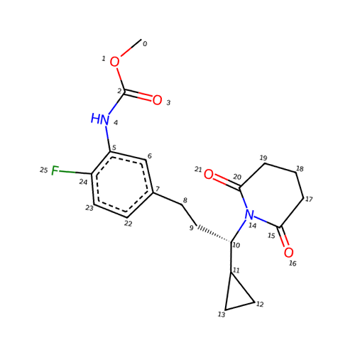 COC(=O)Nc1cc(CC[C@@H](C2CC2)N2C(=O)CCCC2=O)ccc1F